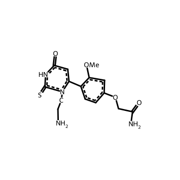 COc1cc(OCC(N)=O)ccc1-c1cc(=O)[nH]c(=S)n1CCN